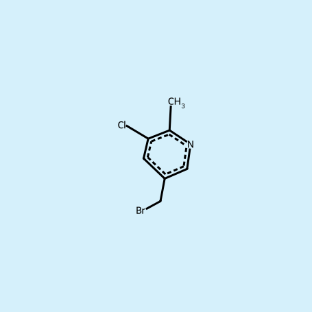 Cc1ncc(CBr)cc1Cl